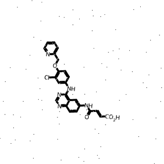 O=C(O)C=CC(=O)Nc1ccc2ncnc(Nc3ccc(OCc4ccccn4)c(Cl)c3)c2c1